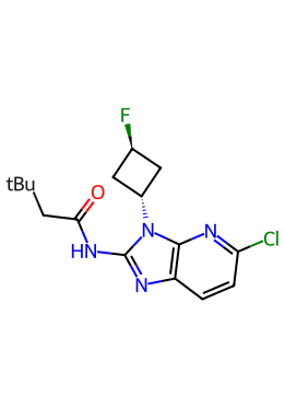 CC(C)(C)CC(=O)Nc1nc2ccc(Cl)nc2n1[C@H]1C[C@H](F)C1